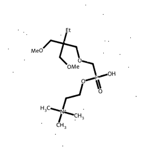 CCC(COC)(COC)COCP(=O)(O)OCC[N+](C)(C)C